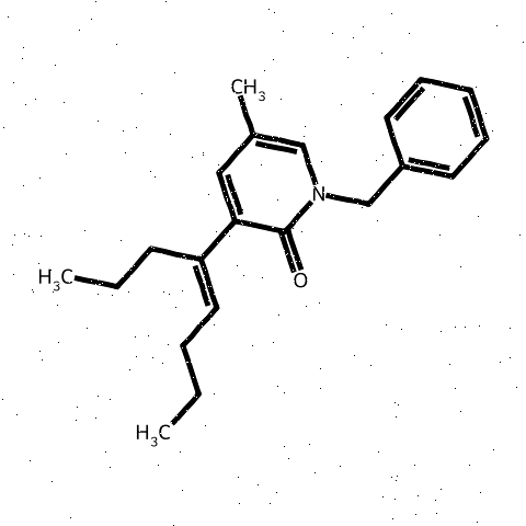 CCCC=C(CCC)c1cc(C)cn(Cc2ccccc2)c1=O